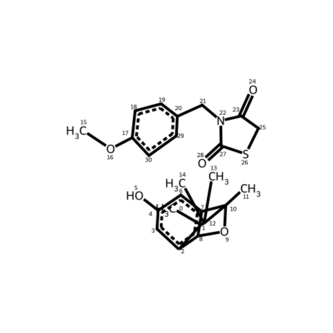 CC1c2cc(O)cc3c2OC3(C)C1(C)C.COc1ccc(CN2C(=O)CSC2=O)cc1